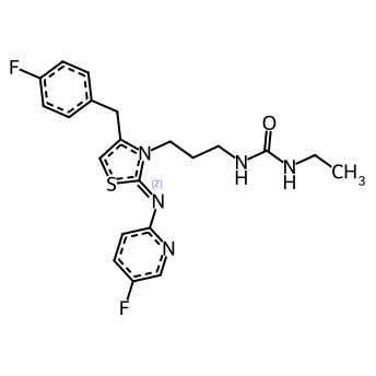 CCNC(=O)NCCCn1c(Cc2ccc(F)cc2)cs/c1=N\c1ccc(F)cn1